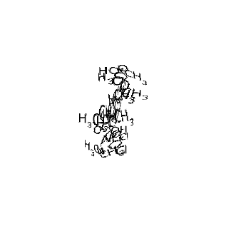 CC(C)C1=C2[C@H]3CC[C@@H]4[C@@]5(C)CC[C@H](OC(=O)CC(C)(C)C(=O)O)C6(C)C[C@]65CC[C@@]4(C)[C@]3(C)CCC2(C(O)CN(CCN(C)C)C(=O)c2ccc(Cl)cc2Cl)CC1=O